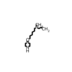 C=CCN(C)CCCCCCON1CCNCC1